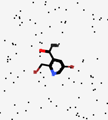 COC(=O)c1cc(Br)cnc1CBr